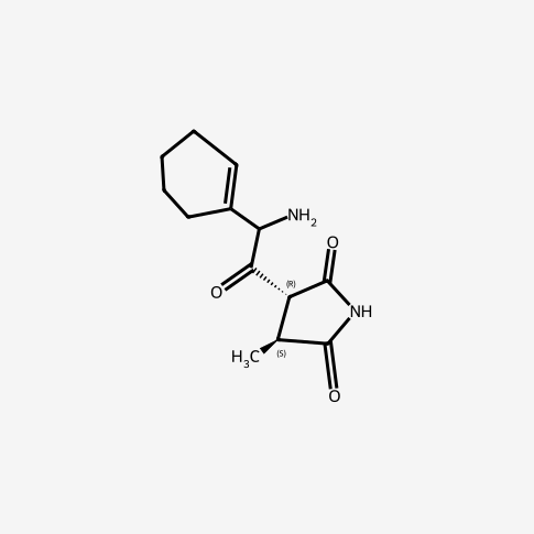 C[C@@H]1C(=O)NC(=O)[C@H]1C(=O)C(N)C1=CCCCC1